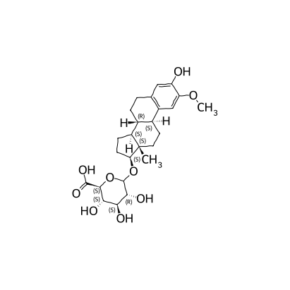 COc1cc2c(cc1O)CC[C@@H]1[C@@H]2CC[C@]2(C)[C@@H](OC3O[C@H](C(=O)O)[C@@H](O)[C@H](O)[C@H]3O)CC[C@@H]12